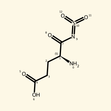 N[C@@H](CCC(=O)O)C(=O)N=S(=O)=O